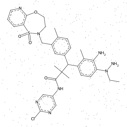 CCN(N)c1ccc(C(c2ccc(C)c(CN3CCOc4ncccc4S3(=O)=O)c2)C(C)(C)C(=O)Nc2cnc(Cl)nc2)c(C)c1N